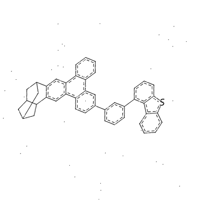 c1cc(-c2ccc3c(c2)c2ccccc2c2cc4c(cc32)C2CC3CC4CC2C3)cc(-c2cccc3sc4ccccc4c23)c1